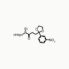 CCCCCCCN(CC)C(=O)CCC1(c2cccc([N+](=O)[O-])c2)OCCO1